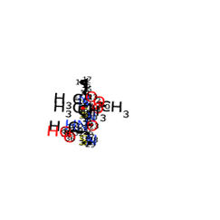 CC(=O)O[C@H](CC(C(C)C)N(C)C(=O)CCC1CC1)C1=NC(C(=O)N[C@@H](Cc2nccs2)C[C@H](C)C(=O)O)CS1